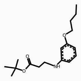 CCCCOc1cccc(NCCC(=O)OC(C)(C)C)c1